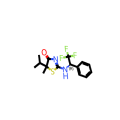 CC(C)C1(C)SC(N[C@H](c2ccccc2)C(F)(F)F)=NC1=O